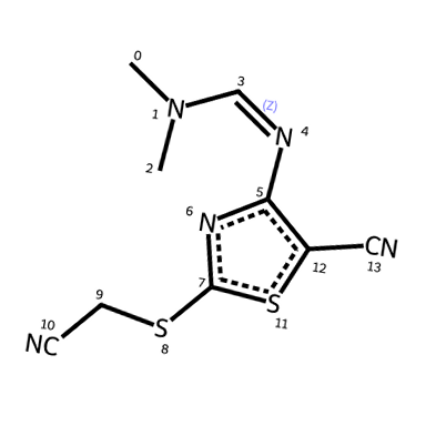 CN(C)/C=N\c1nc(SCC#N)sc1C#N